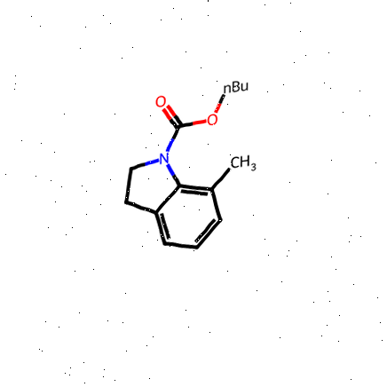 CCCCOC(=O)N1CCc2cccc(C)c21